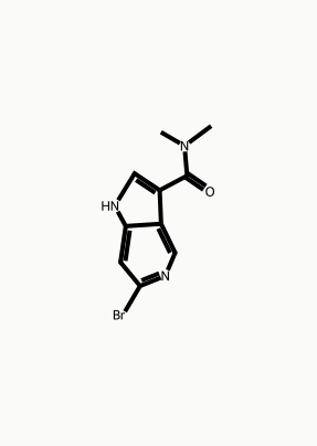 CN(C)C(=O)c1c[nH]c2cc(Br)ncc12